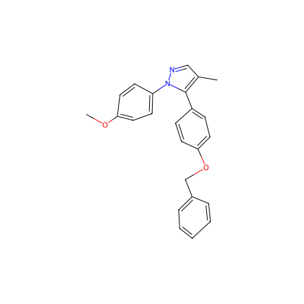 COc1ccc(-n2ncc(C)c2-c2ccc(OCc3ccccc3)cc2)cc1